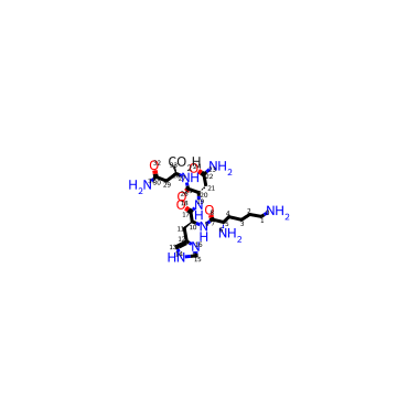 NCCCC[C@H](N)C(=O)N[C@@H](Cc1c[nH]cn1)C(=O)N[C@@H](CC(N)=O)C(=O)N[C@@H](CC(N)=O)C(=O)O